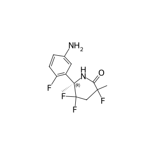 CC1(F)CC(F)(F)[C@@](C)(c2cc(N)ccc2F)NC1=O